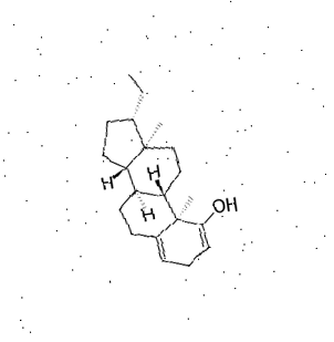 CC[C@H]1CC[C@H]2[C@@H]3CCC4=CCC=C(O)[C@]4(C)[C@H]3CC[C@]12C